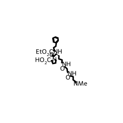 CCOC(=O)C(CCc1ccccc1)N[C@@H](CCCCNC(=O)CCNC(=O)CCCNC)C(=O)N1CCCC1C(=O)O